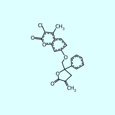 C=C1CC(COc2ccc3c(C)c(Cl)c(=O)oc3c2)(c2ccccc2)OC1=O